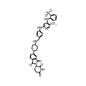 CS(=O)(=O)c1ccccc1Nc1cc(Nc2ccc(CNC3CCN(c4ccc5c(c4)C(=O)N(C4CCC(=O)NC4=O)C5=O)CC3)cc2)ncc1C(F)(F)F